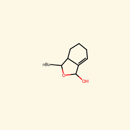 CCCCC1OC(O)C2=CCCCC21